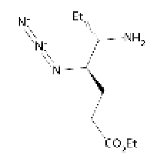 CCOC(=O)CC[C@@H](N=[N+]=[N-])[C@@H](N)CC